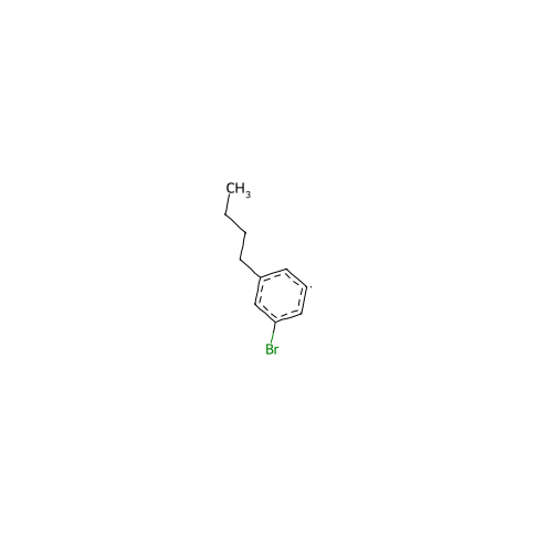 CCCCc1c[c]cc(Br)c1